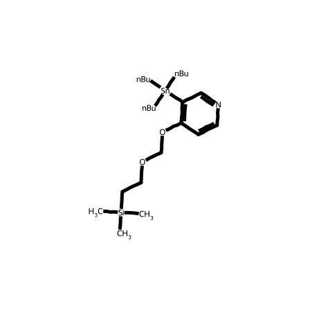 CCC[CH2][Sn]([CH2]CCC)([CH2]CCC)[c]1cnccc1OCOCC[Si](C)(C)C